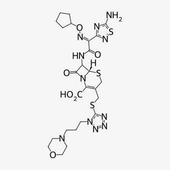 Nc1nc(C(=NOC2CCCC2)C(=O)NC2C(=O)N3C(C(=O)O)=C(CSc4nnnn4CCCN4CCOCC4)CS[C@@H]23)ns1